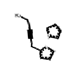 OCC#CCc1cc[c]s1.[c]1cccs1